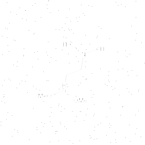 CO[SiH](CCN(C)C)OC